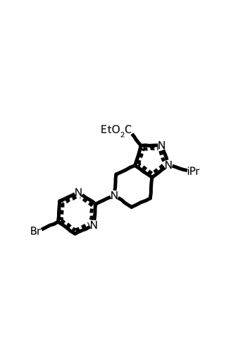 CCOC(=O)c1nn(C(C)C)c2c1CN(c1ncc(Br)cn1)CC2